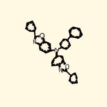 c1ccc(-c2ccc(N(c3ccc4nc(-c5ccccc5)oc4c3)c3ccc4nc(-c5ccccc5)oc4c3)cc2)cc1